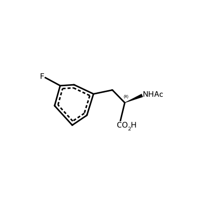 CC(=O)N[C@H](Cc1cccc(F)c1)C(=O)O